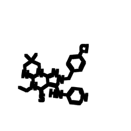 CCN1C(=S)c2c(nn(Cc3ccc(Cl)cc3)c2Nc2ccncc2)N2CC(C)(C)CN=C12